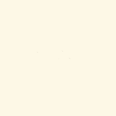 Nc1ccc(CN2CCN(S(=O)(=O)C3CC3)CC2)c(C(F)(F)F)c1